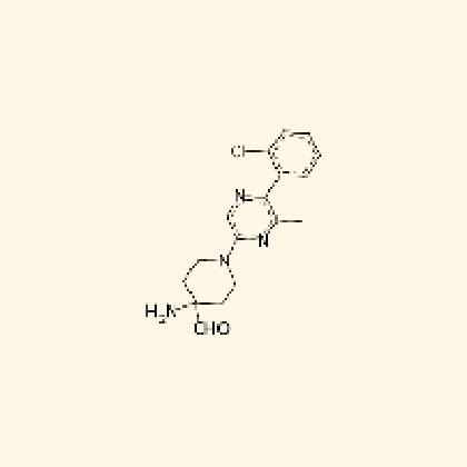 Cc1nc(N2CCC(N)(C=O)CC2)cnc1-c1ccccc1Cl